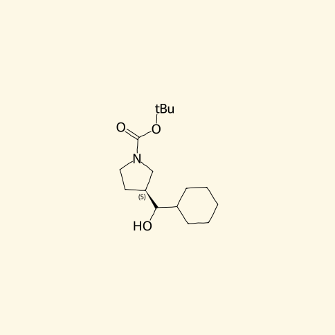 CC(C)(C)OC(=O)N1CC[C@H](C(O)C2CCCCC2)C1